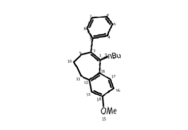 CCCCC1=C(c2ccccc2)CCCc2cc(OC)ccc21